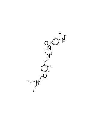 CCCN(CCC)CCOc1ccc(CCN2CCN(C(=O)c3ccc(C(F)(F)F)cc3)CC2)c(C)c1C